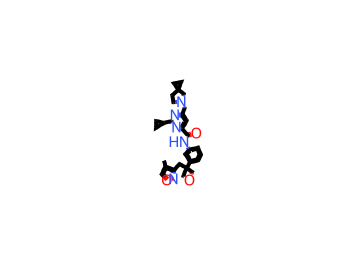 Cc1conc1CC1(c2cccc(NC(=O)c3cc(CN4CCC5(CC5)C4)nc(C4CC4)n3)c2)COC1